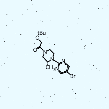 C[C@@H]1CN(C(=O)COC(C)(C)C)CCN1c1ncc(Br)cn1